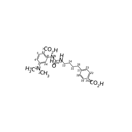 CN(C)c1ccc(C(=O)O)c(NC(=O)NCCCCc2ccc(C(=O)O)cc2)c1